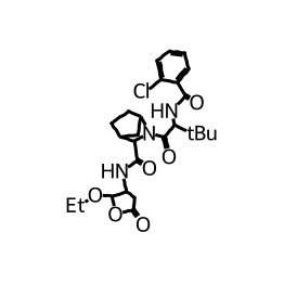 CCOC1OC(=O)CC1NC(=O)C1C2CCC(C2)N1C(=O)C(NC(=O)c1ccccc1Cl)C(C)(C)C